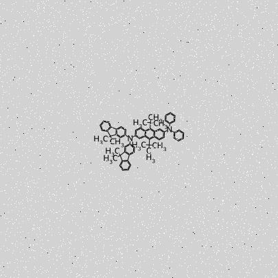 CC(C)(C)c1c2ccc(N(c3ccc4c(c3)C(C)(C)c3ccccc3-4)c3ccc4c(c3)C(C)(C)c3ccccc3-4)cc2c(C(C)(C)C)c2ccc(N(c3ccccc3)c3ccccc3)cc12